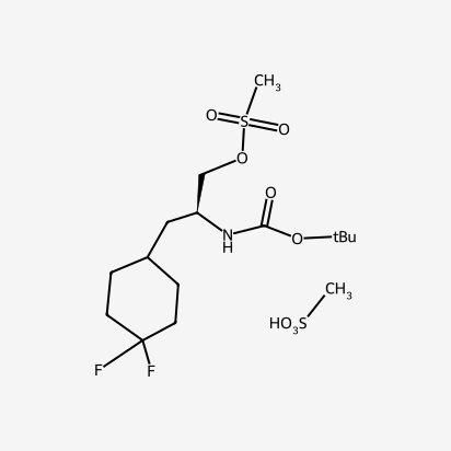 CC(C)(C)OC(=O)N[C@H](COS(C)(=O)=O)CC1CCC(F)(F)CC1.CS(=O)(=O)O